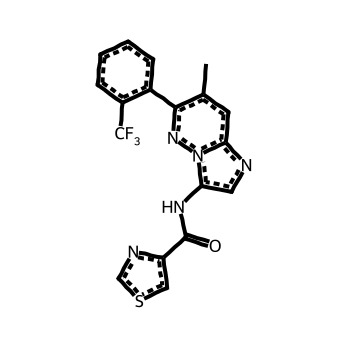 Cc1cc2ncc(NC(=O)c3cscn3)n2nc1-c1ccccc1C(F)(F)F